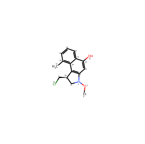 CCON1C[C@@H](CCl)c2c1cc(O)c1cccc(C)c21